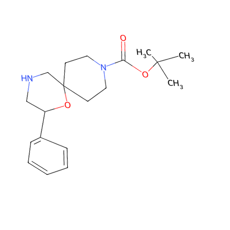 CC(C)(C)OC(=O)N1CCC2(CC1)CNCC(c1ccccc1)O2